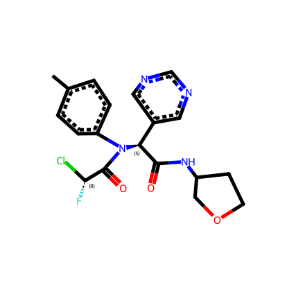 Cc1ccc(N(C(=O)[C@H](F)Cl)[C@H](C(=O)NC2CCOC2)c2cncnc2)cc1